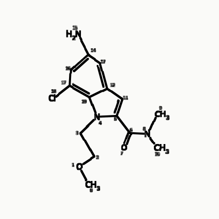 COCCn1c(C(=O)N(C)C)cc2cc(N)cc(Cl)c21